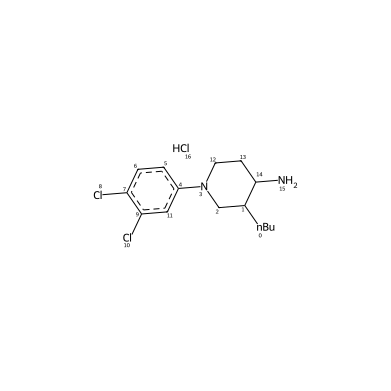 CCCCC1CN(c2ccc(Cl)c(Cl)c2)CCC1N.Cl